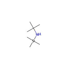 CC(C)(C)N[Si](C)(C)C